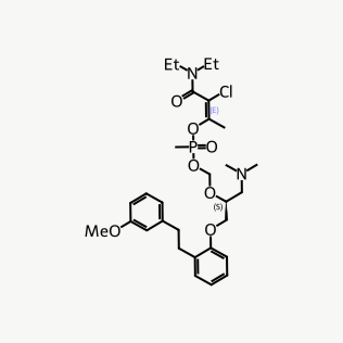 CCN(CC)C(=O)/C(Cl)=C(/C)OP(C)(=O)OCO[C@H](COc1ccccc1CCc1cccc(OC)c1)CN(C)C